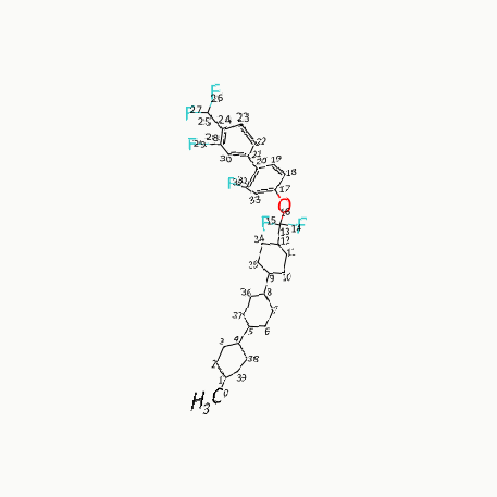 CC1CCC(C2CCC(C3CCC(C(F)(F)Oc4ccc(-c5ccc(C(F)F)c(F)c5)c(F)c4)CC3)CC2)CC1